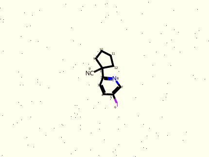 N#CC1(c2ccc(I)cn2)CCCC1